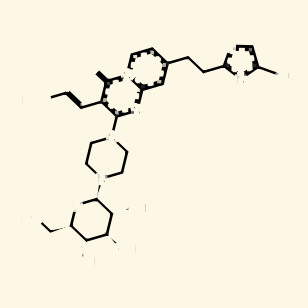 CC(C)c1csc(CCc2ccn3c(=O)c(C=CC(=O)O)c(N4CCN([C@@H]5O[C@H](CO)[C@@H](O)[C@H](O)[C@H]5O)CC4)nc3c2)n1